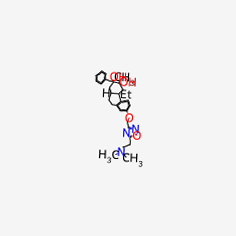 CC[C@@]12CC(C)(O)[C@](O)(c3ccccc3)C[C@H]1CCc1cc(OCc3noc(CCN(C)C)n3)ccc12